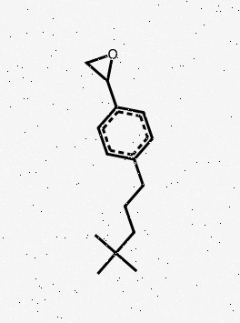 CC(C)(C)CCCc1ccc(C2CO2)cc1